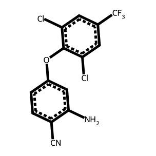 N#Cc1ccc(Oc2c(Cl)cc(C(F)(F)F)cc2Cl)cc1N